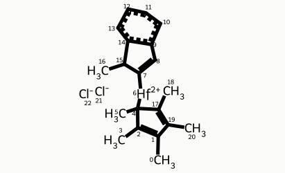 CC1=C(C)[C](C)([Hf+2][C]2=Cc3ccccc3C2C)C(C)=C1C.[Cl-].[Cl-]